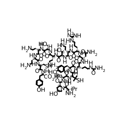 CC[C@H](C)[C@H](NC(=O)[C@@H]1C[C@@H](O)CN1C(=O)[C@@H](N)C(C)C)C(=O)N[C@H](C(=O)N[C@@H](Cc1ccc(O)cc1)C(=O)N[C@@H](CCCNC(N)=O)C(=O)N[C@@H](CC(N)=O)C(=O)N[C@@H](CCCNC(=N)N)C(=O)N[C@@H](CCN)C(=O)N[C@H](C(=O)N[C@H](CCN)C(=O)N[C@@H](CO)C(=O)N[C@@H](CCN)C(=O)N[C@@H](CCN)C(=O)N[C@@H](CS)C(=O)N[C@@H](Cc1ccc(O)cc1)C(=O)O)[C@@H](C)O)C(C)(C)S